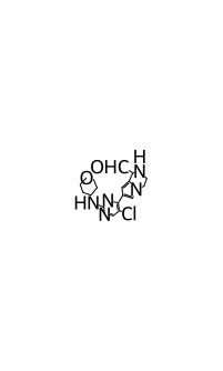 O=CC1NCCn2cc(-c3nc(NC4CCOCC4)ncc3Cl)cc21